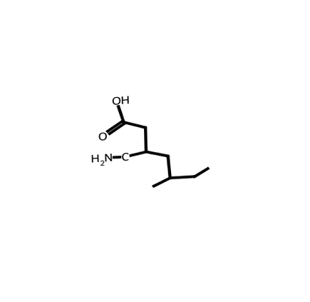 CCC(C)CC(CN)CC(=O)O